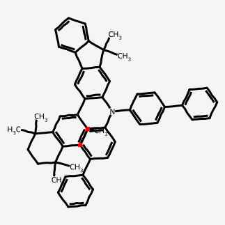 Cc1cc2c(cc1-c1cc3c(cc1N(c1ccc(-c4ccccc4)cc1)c1ccc(-c4ccccc4)cc1)C(C)(C)c1ccccc1-3)C(C)(C)CCC2(C)C